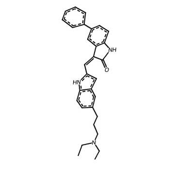 CCN(CC)CCCc1ccc2[nH]c(C=C3C(=O)Nc4ccc(-c5ccccc5)cc43)cc2c1